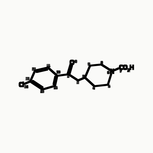 O=C(CC1CCN(C(=O)O)CC1)c1ccc(Cl)cc1